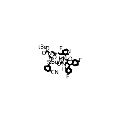 CC(C)(C)OC(=O)N[C@H](C(=O)Nc1cncc(F)c1CC[C@H]1CN(C(=O)OC(C)(C)C)C[C@@H](CSc2cccc(C#N)c2)O1)C(c1ccc(F)cc1)c1ccc(F)cc1